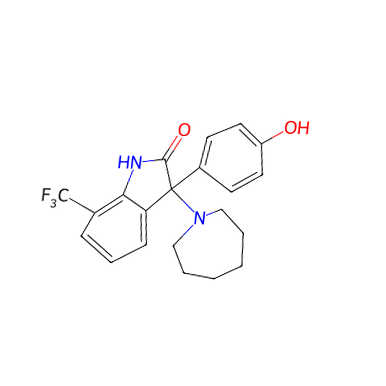 O=C1Nc2c(C(F)(F)F)cccc2C1(c1ccc(O)cc1)N1CCCCCC1